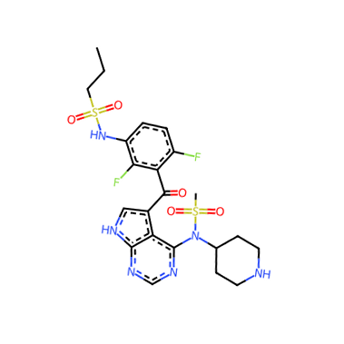 CCCS(=O)(=O)Nc1ccc(F)c(C(=O)c2c[nH]c3ncnc(N(C4CCNCC4)S(C)(=O)=O)c23)c1F